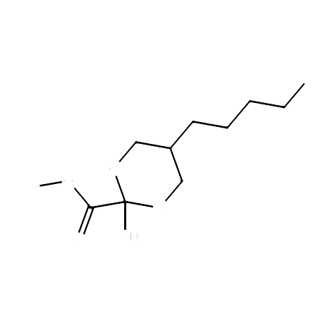 COC(=O)C1(C)OCC(CCCCI)CO1